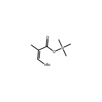 CCCCC=C(C)C(=O)O[Si](C)(C)C